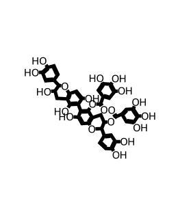 O=C(Oc1c2c(cc(O)c1-c1c(O)cc3c(c1O)CC(O)C(c1ccc(O)c(O)c1)O3)OC(c1ccc(O)c(O)c1)C(OC(=O)c1cc(O)c(O)c(O)c1)C2)c1cc(O)c(O)c(O)c1